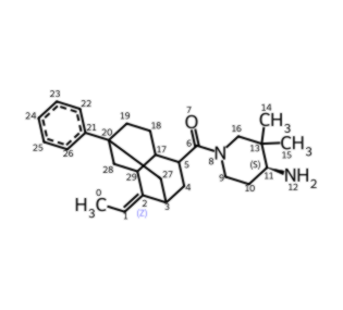 C/C=C1/C2CC(C(=O)N3CC[C@H](N)C(C)(C)C3)C3CCC(c4ccccc4)(C2)CC13